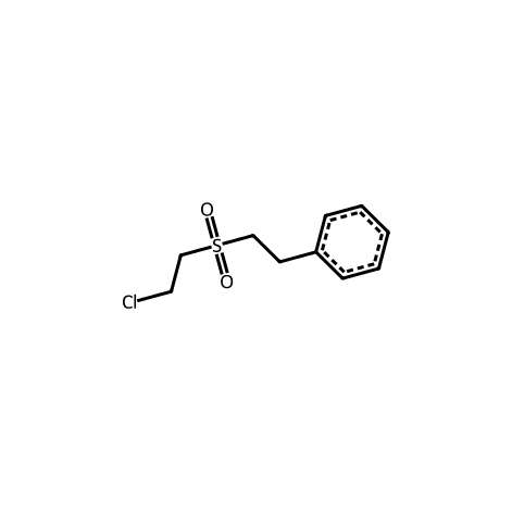 O=S(=O)(CCCl)CCc1ccccc1